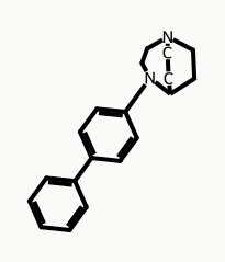 c1ccc(-c2ccc(N3CCN4CCC3CC4)cc2)cc1